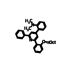 CCCCCCCCOc1ccccc1-c1cc(-c2ccccc2N(C)C)cc(-c2ccccc2)n1